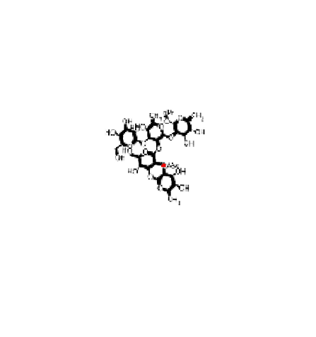 CCCO[C@@H]1OC(C)[C@H](O)[C@H](O)C1O[C@@H]1OC(C)[C@H](O)[C@H](O[C@H]2O[C@@H](CO)[C@@H](O)C(O)C2O)C1O[C@@H]1OC(CO)[C@@H](O)[C@H](O[C@@H]2OC(C)[C@H](O)[C@H](O)C2OC(C)=O)C1NC(C)=O